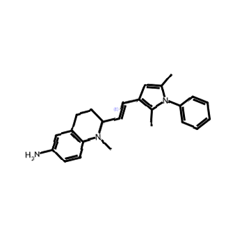 Cc1cc(/C=C/C2CCc3cc(N)ccc3N2C)c(C)n1-c1ccccc1